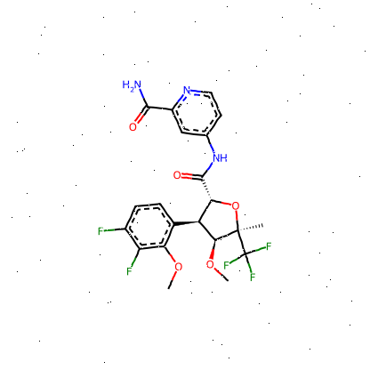 COc1c([C@H]2[C@H](C(=O)Nc3ccnc(C(N)=O)c3)O[C@@](C)(C(F)(F)F)[C@H]2OC)ccc(F)c1F